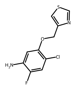 Nc1cc(OCc2cscn2)c(Cl)cc1F